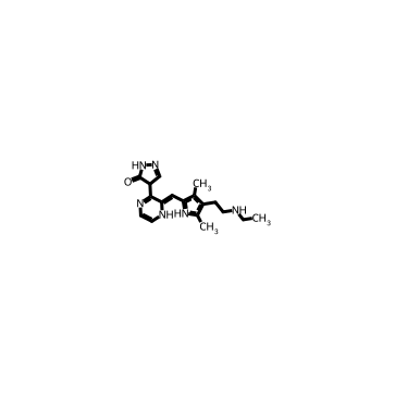 CCNCCc1c(C)[nH]c(C=C2NC=CN=C2C2C=NNC2=O)c1C